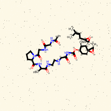 CCCCC(NC(=O)C1CCCN1C(=O)CNC(=O)CNC(=O)C(C)C)C(=O)NCCNCC(=O)NC(=O)O[C@@H]1CC[C@]2(CO2)[C@@H]([C@]2(C)OC2CC=C(C)C)[C@@H]1OC